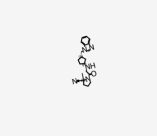 N#C[C@@]1(I)CCCN1C(=O)CN[C@@H]1CC[C@H](Cn2cnc3ccccc32)C1